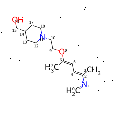 C=N/C(C)=C/C=C(\C)OCCN1CCC(CO)CC1